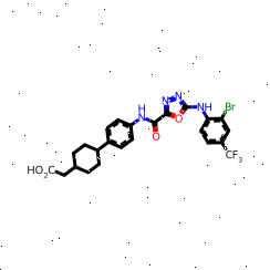 O=C(O)CC1CCC(c2ccc(NC(=O)c3nnc(Nc4ccc(C(F)(F)F)cc4Br)o3)cc2)CC1